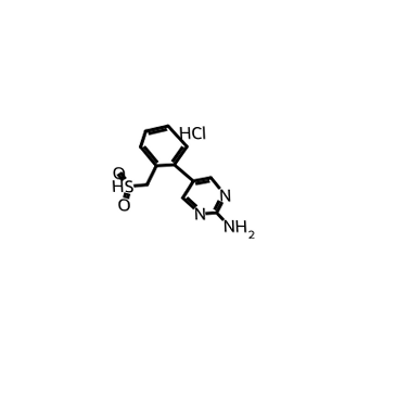 Cl.Nc1ncc(-c2ccccc2C[SH](=O)=O)cn1